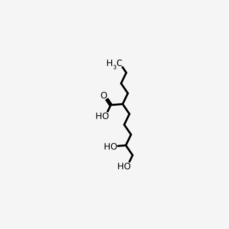 CCCCC(CCCC(O)CO)C(=O)O